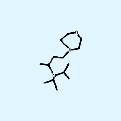 CC(C)N(C(C)C)C(C)CCN1CCOCC1